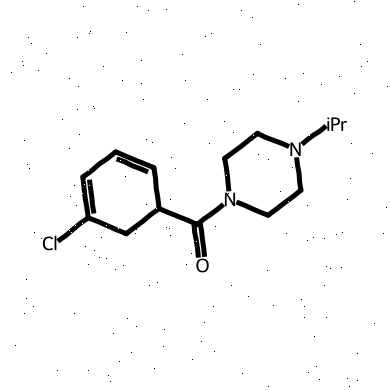 CC(C)N1CCN(C(=O)C2C=CC=C(Cl)C2)CC1